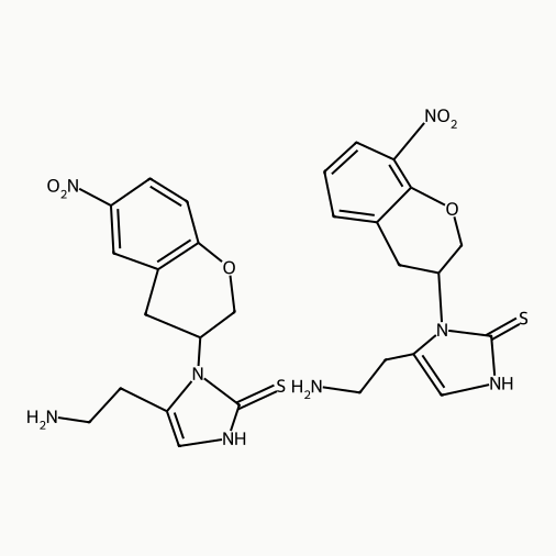 NCCc1c[nH]c(=S)n1C1COc2c(cccc2[N+](=O)[O-])C1.NCCc1c[nH]c(=S)n1C1COc2ccc([N+](=O)[O-])cc2C1